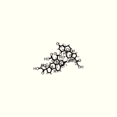 C[C@]12C[C@H](O)[C@H]3[C@@H](CCC4=CC(=O)CC(OC(=O)C(CC(=O)O)C5CC(=O)C=C6CC[C@@H]7[C@H]([C@@H](O)C[C@@]8(C)[C@H]7CC[C@]8(O)C(=O)CO)[C@]65C)[C@@]43C)[C@@H]1CC[C@]2(O)C(=O)CO